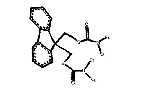 CCN(CC)C(=O)SCC1(CSC(=O)N(CC)CC)c2ccccc2-c2ccccc21